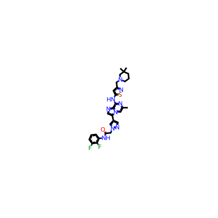 Cc1cn2c(-c3cnn(CC(=O)Nc4cccc(F)c4F)c3)cnc2c(Nc2cc(CN3CCCC(C)(C)C3)ns2)n1